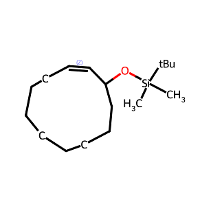 CC(C)(C)[Si](C)(C)OC1/C=C\CCCCCCCC1